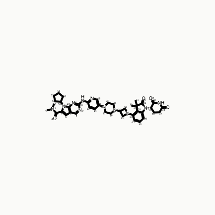 CN(C)C(=O)c1cc2cnc(Nc3ccc(N4CCN(C5CN(c6cccc7c6C(C)(C)C(=O)N7[C@H]6CCC(=O)NC6=O)C5)CC4)cn3)nc2n1C1CCCC1